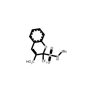 CC(C)(C)NS(=O)(=O)C1(C(F)(F)F)Oc2ccccc2C=C1C(=O)O